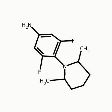 CC1CCCC(C)N1c1c(F)cc(N)cc1F